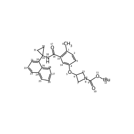 Cc1ccc(OC2CN(C(=O)OC(C)(C)C)C2)cc1C(=O)NC1(c2cccc3ccccc23)CC1